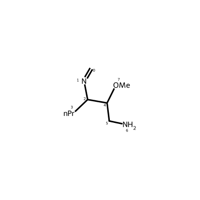 C=NC(CCC)C(CN)OC